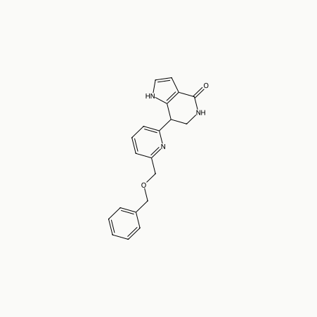 O=C1NCC(c2cccc(COCc3ccccc3)n2)c2[nH]ccc21